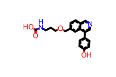 O=C(O)NCCCOCc1ccc2cncc(-c3ccc(O)cc3)c2c1